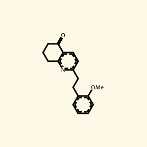 COc1ccccc1CCc1ccc2c(n1)CCCC2=O